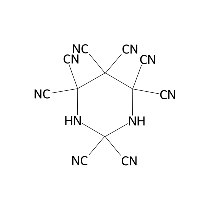 N#CC1(C#N)NC(C#N)(C#N)C(C#N)(C#N)C(C#N)(C#N)N1